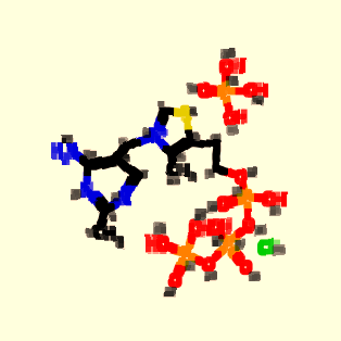 Cc1ncc(C[n+]2csc(CCOP(=O)(O)OP(=O)(O)OP(=O)(O)O)c2C)c(N)n1.O=P(O)(O)O.[Cl-]